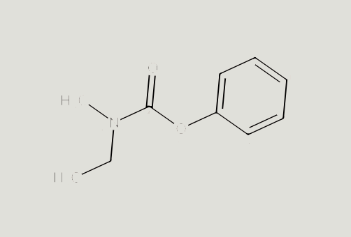 CCN(C)C(=O)Oc1ccccc1